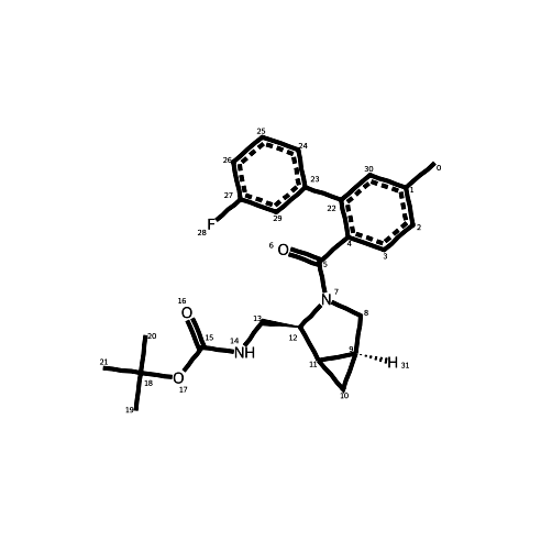 Cc1ccc(C(=O)N2C[C@H]3CC3[C@H]2CNC(=O)OC(C)(C)C)c(-c2cccc(F)c2)c1